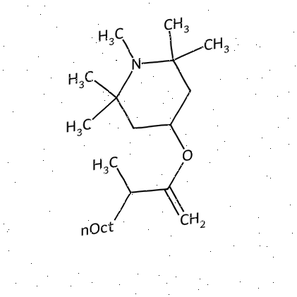 C=C(OC1CC(C)(C)N(C)C(C)(C)C1)C(C)CCCCCCCC